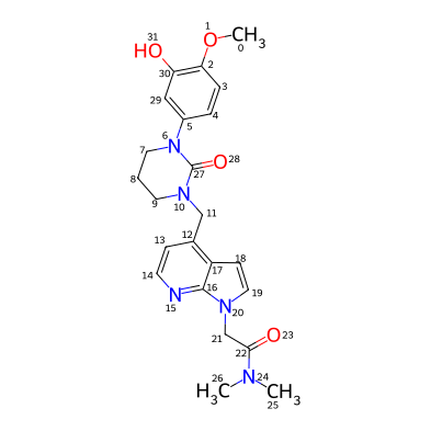 COc1ccc(N2CCCN(Cc3ccnc4c3ccn4CC(=O)N(C)C)C2=O)cc1O